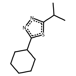 CC(C)c1nnc(C2CCCCC2)s1